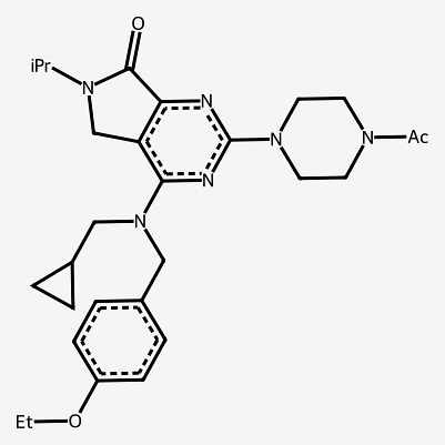 CCOc1ccc(CN(CC2CC2)c2nc(N3CCN(C(C)=O)CC3)nc3c2CN(C(C)C)C3=O)cc1